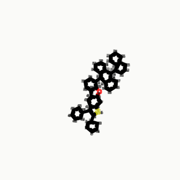 c1ccc(-c2sc3cc4oc5c(-c6c7ccccc7c(-c7cccc8ccccc78)c7ccccc67)cccc5c4cc3c2-c2ccccc2)cc1